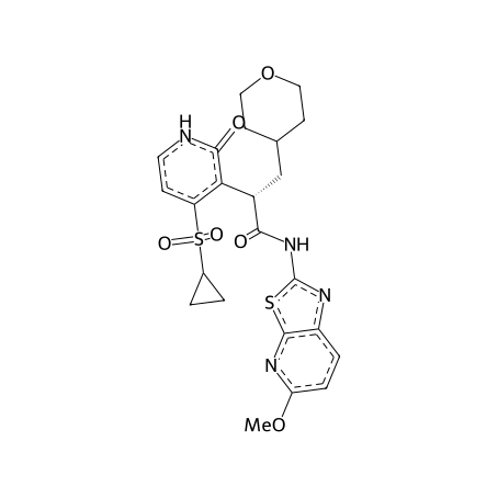 COc1ccc2nc(NC(=O)[C@@H](CC3CCOCC3)c3c(S(=O)(=O)C4CC4)cc[nH]c3=O)sc2n1